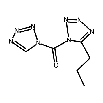 CCCc1nnnn1C(=O)n1cnnn1